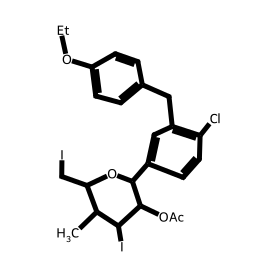 CCOc1ccc(Cc2cc(C3OC(CI)C(C)C(I)C3OC(C)=O)ccc2Cl)cc1